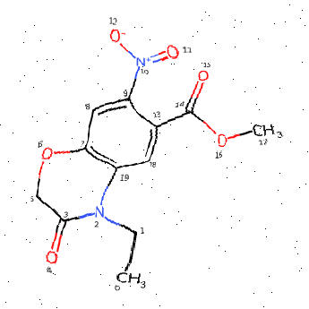 CCN1C(=O)COc2cc([N+](=O)[O-])c(C(=O)OC)cc21